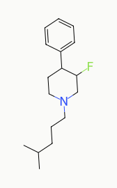 CC(C)CCCN1CCC(c2ccccc2)C(F)C1